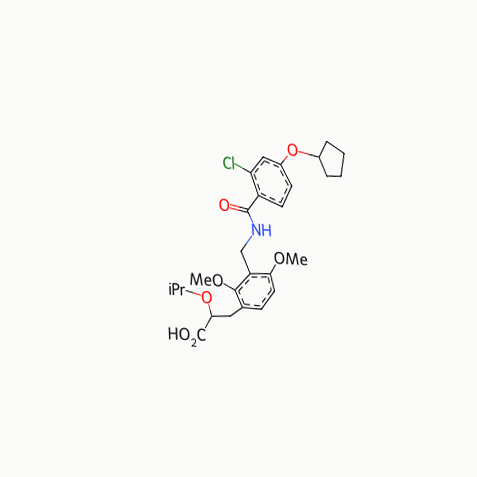 COc1ccc(CC(OC(C)C)C(=O)O)c(OC)c1CNC(=O)c1ccc(OC2CCCC2)cc1Cl